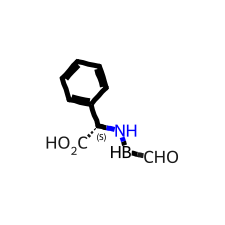 O=CBN[C@H](C(=O)O)c1ccccc1